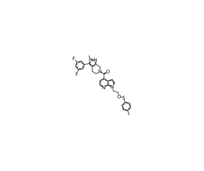 Cc1ccc(SOCCn2ccc3c(C(=O)N4CCc5c(nn(C)c5-c5cc(F)cc(F)c5)C4)ccnc32)cc1